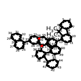 CC1(C)c2ccccc2-c2cccc(-c3ccc(N(c4cccc(-c5cccc6ccccc56)c4)c4cccc(-c5ccccc5)c4-c4ccccc4-c4ccccc4)cc3)c21